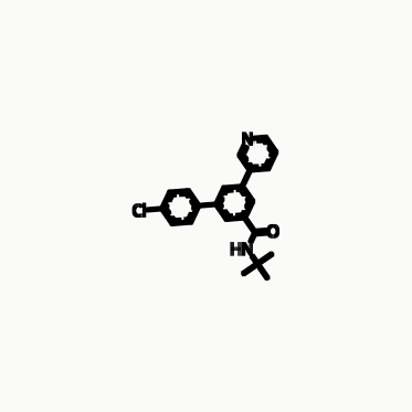 CC(C)(C)NC(=O)c1cc(-c2ccc(Cl)cc2)cc(-c2cccnc2)c1